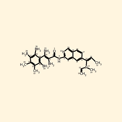 B/C(C(=O)Nc1cc2cc(/C(=C/C)N(C)C=C)ccc2cn1)=C(/B)c1c(B)c(B)c(C)c(C)c1B